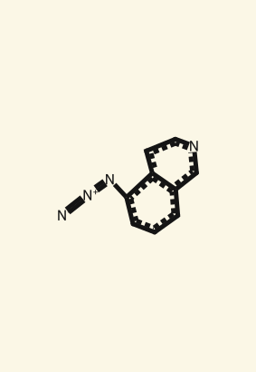 [N-]=[N+]=Nc1cccc2cnccc12